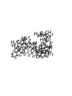 CN[C@@H](C)C(=O)N[C@H]1CCS[C@H]2CC(C)(C)[C@@H](C(=O)N[C@H]3c4ccccc4CC3OCCCCCCO[C@@H]3Cc4ccccc4[C@@H]3NC(=O)[C@H]3N4C(=O)[C@@H](NC(=O)[C@H](C)NC)CCS[C@H]4CC3(C)C)N2C1=O